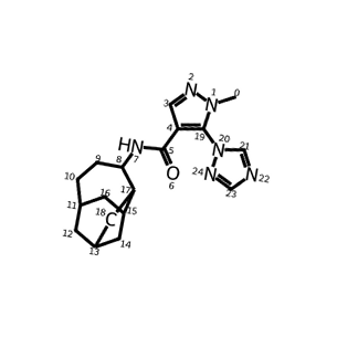 Cn1ncc(C(=O)NC2CCC3CC4CC(C3)C2C4)c1-n1cncn1